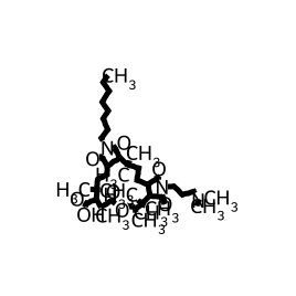 CCCCCCCCN1C(=O)C(CCC(C)(C)C(C(=O)O)C(C)C(=O)OCC)C(C(C)(C)CCC2C(=O)N(CCCN(C)C)C(=O)C2C(C)(C)CC)C1=O